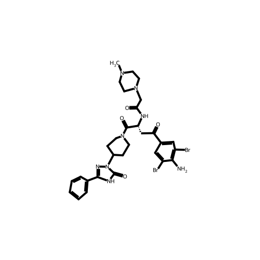 CN1CCN(CC(=O)N[C@H](CC(=O)c2cc(Br)c(N)c(Br)c2)C(=O)N2CCC(n3nc(-c4ccccc4)[nH]c3=O)CC2)CC1